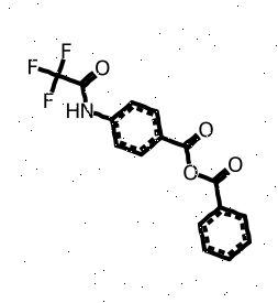 O=C(OC(=O)c1ccc(NC(=O)C(F)(F)F)cc1)c1ccccc1